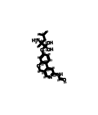 CC(C)CC(C)(N)C(O)(O)Oc1ccc2c(c1)OCc1cnc(NC=O)cc1-2